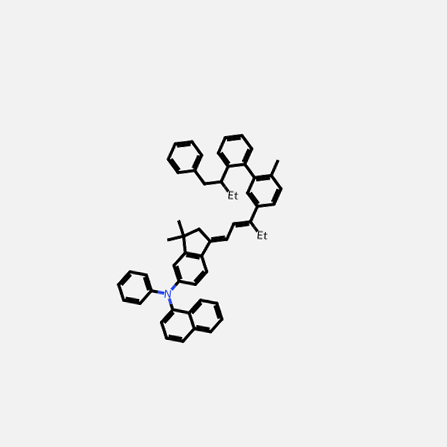 CC/C(=C\C=C1/CC(C)(C)c2cc(N(c3ccccc3)c3cccc4ccccc34)ccc21)c1ccc(C)c(-c2ccccc2C(CC)Cc2ccccc2)c1